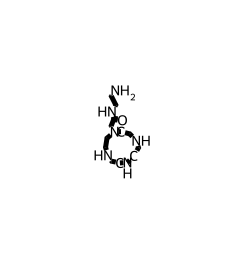 NCCNC(=O)CN1CCNCCNCCNCC1